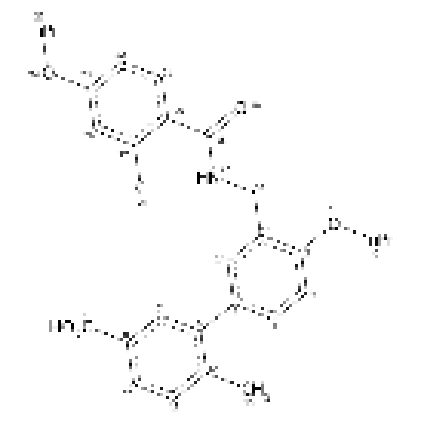 CCCOc1ccc(-c2cc(C(=O)O)ccc2C)cc1CNC(=O)c1ccc(OC(C)C)cc1Cl